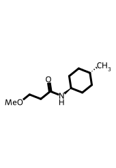 COCCC(=O)N[C@H]1CC[C@H](C)CC1